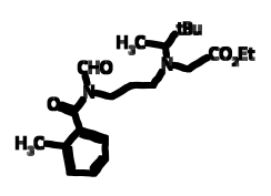 CCOC(=O)CN(CCCN(C=O)C(=O)c1ccccc1C)C(C)C(C)(C)C